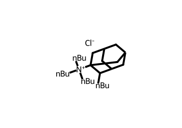 CCCCC1C2CC3CC(C2)CC1([N+](CCCC)(CCCC)CCCC)C3.[Cl-]